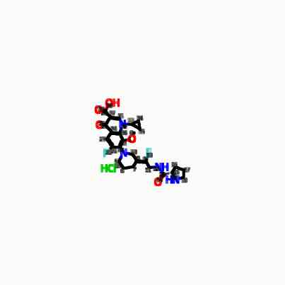 COc1c(N2CCCC(=C(F)CNC(=O)[C@@H]3CCCN3)C2)c(F)cc2c(=O)c(C(=O)O)cn(C3CC3)c12.Cl